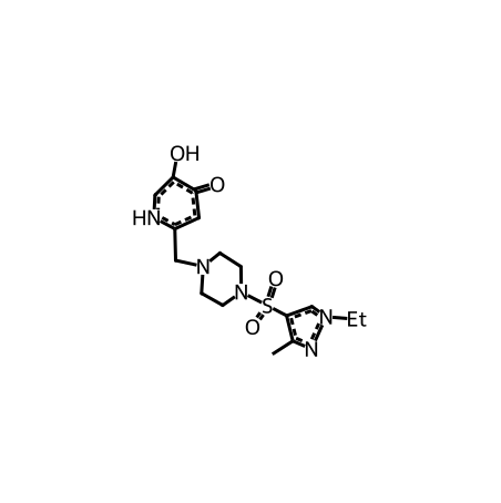 CCn1cc(S(=O)(=O)N2CCN(Cc3cc(=O)c(O)c[nH]3)CC2)c(C)n1